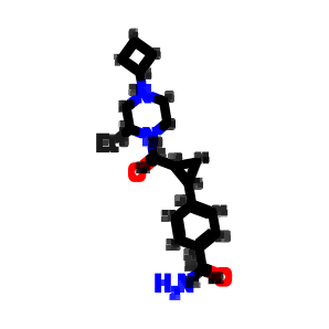 CCC1CN(C2CCC2)CCN1C(=O)C1CC1c1ccc(C(N)=O)cc1